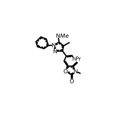 C=c1/c(=C\C(=C/CCC)c2nn(-c3ccccc3)c(NC)c2C)oc(=O)n1C